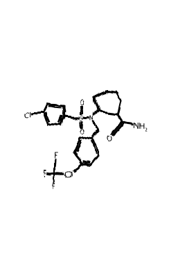 NC(=O)C1CCCCC1N(Cc1ccc(OC(F)(F)F)cc1)S(=O)(=O)c1ccc(Cl)cc1